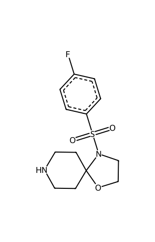 O=S(=O)(c1ccc(F)cc1)N1CCOC12CCNCC2